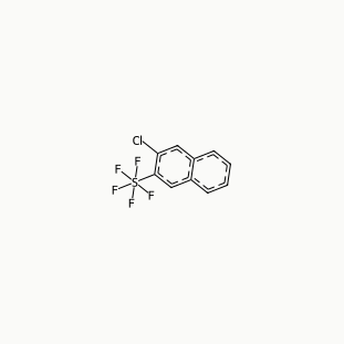 FS(F)(F)(F)(F)c1cc2ccccc2cc1Cl